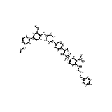 CCOc1cccc(-c2ccc(CN3CCN(c4ccc(C(=O)NS(=O)(=O)c5ccc(NCCSc6ccccc6)c([N+](=O)[O-])c5)nn4)CC3)c(OC)c2)c1